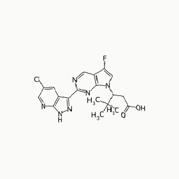 CC(C)(C)C(CC(=O)O)n1cc(F)c2cnc(-c3n[nH]c4ncc(Cl)cc34)nc21